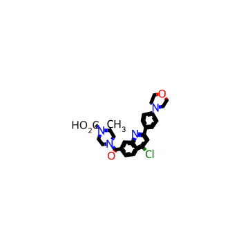 C[C@@H]1CN(C(=O)c2ccc3c(Cl)cc(-c4ccc(N5CCOCC5)cc4)nc3c2)CCN1C(=O)O